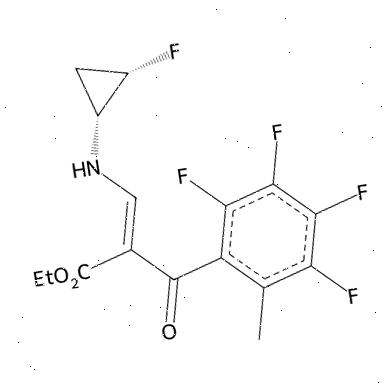 CCOC(=O)C(=CN[C@@H]1C[C@@H]1F)C(=O)c1c(C)c(F)c(F)c(F)c1F